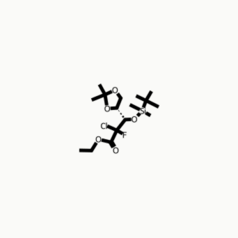 CCOC(=O)C(F)(Cl)C(O[Si](C)(C)C(C)(C)C)[C@H]1COC(C)(C)O1